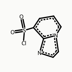 O=S(=O)(Cl)c1cccn2ccnc12